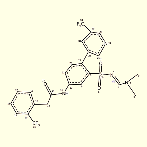 CN(C)/C=N/S(=O)(=O)c1cc(NC(=O)Cc2ccccc2C(F)(F)F)ccc1-c1cncc(C(F)(F)F)c1